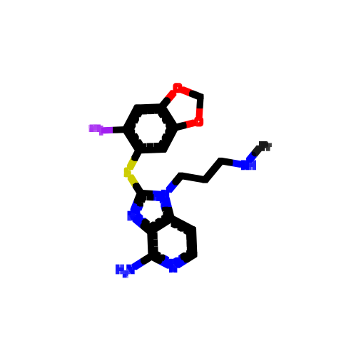 CC(C)NCCCn1c(Sc2cc3c(cc2[131I])OCO3)nc2c(N)nccc21